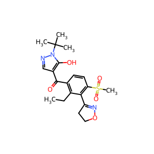 CCc1c(C(=O)c2cnn(C(C)(C)C)c2O)ccc(S(C)(=O)=O)c1C1=NOCC1